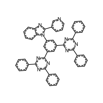 c1ccc(-c2nc(-c3ccccc3)nc(-c3cc(-c4nc(-c5ccccc5)nc(-c5ccccc5)n4)cc(-n4c(-c5cccnc5)nc5ccccc54)c3)n2)cc1